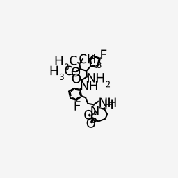 COC(C(C)C)C(c1ccc(F)cc1)C(N)C(=O)Nc1cccc(F)c1CCC1CN[C@@H]2CCCS(=O)(=O)N1C2